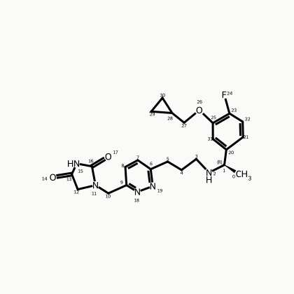 C[C@@H](NCCCc1ccc(CN2CC(=O)NC2=O)nn1)c1ccc(F)c(OCC2CC2)c1